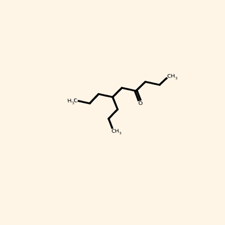 CCCC(=O)CC(CCC)CCC